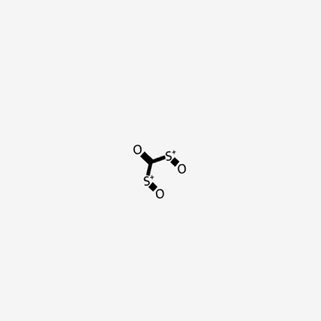 O=[S+]C(=O)[S+]=O